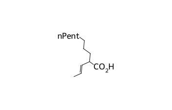 CC=CC(CCCCCCCC)C(=O)O